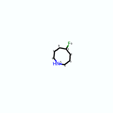 FC1CCCNCCC1